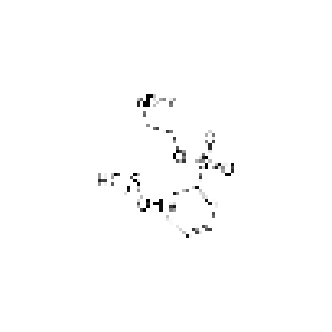 CCCCCCCCCCCCOS(=O)(=O)c1ccccc1.O=S(=O)(O)O